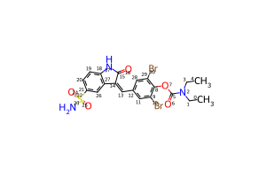 CCN(CC)C(=O)Oc1c(Br)cc(C=C2C(=O)Nc3ccc(S(N)(=O)=O)cc32)cc1Br